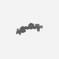 O=C(O)/C(O)=C/c1cc(CCc2ccc(C(F)(F)F)cc2)ncn1